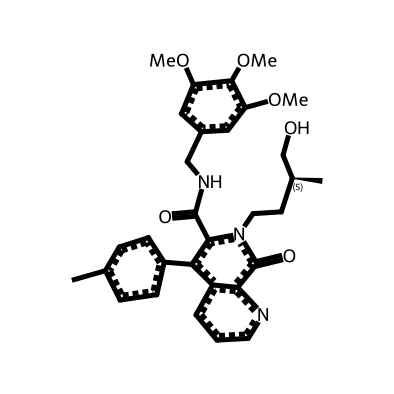 COc1cc(CNC(=O)c2c(-c3ccc(C)cc3)c3cccnc3c(=O)n2CC[C@H](C)CO)cc(OC)c1OC